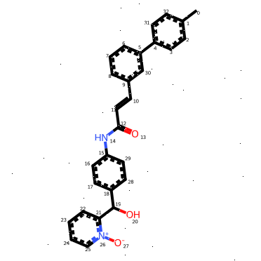 Cc1ccc(-c2cccc(/C=C/C(=O)Nc3ccc(C(O)c4cccc[n+]4[O-])cc3)c2)cc1